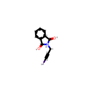 O=C1c2ccccc2C(=O)N1CC#CI